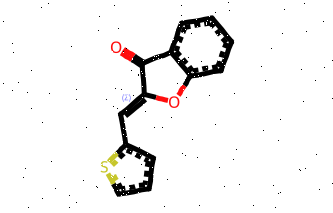 O=C1/C(=C/c2cccs2)Oc2ccccc21